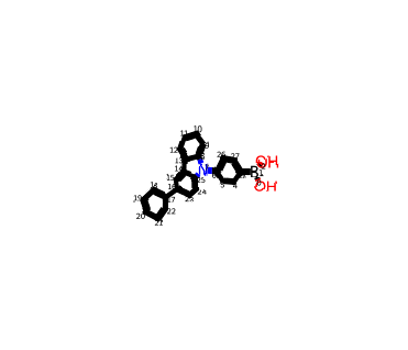 OB(O)c1ccc(-n2c3ccccc3c3cc(-c4ccccc4)ccc32)cc1